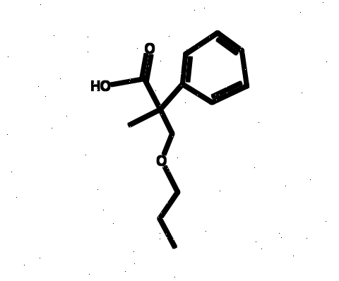 CCCOCC(C)(C(=O)O)c1ccccc1